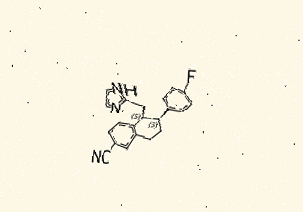 N#Cc1ccc2c(c1)CC[C@H](c1ccc(F)cc1)[C@@H]2Cc1ncc[nH]1